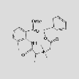 COC(=O)c1cccc(C)c1NC(=O)C(C)[N+](C)(C)CC(=O)OCc1ccccc1